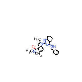 Cc1cc2c(C(=O)N(C)C)cccc2n1-c1nc2c(c(NCc3ccccc3)n1)CCCC2